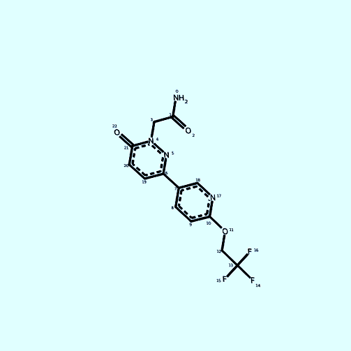 NC(=O)Cn1nc(-c2ccc(OCC(F)(F)F)nc2)ccc1=O